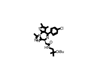 Cc1sc2c(c1C)C(c1ccc(Cl)cc1)=N[C@@H](CC(=O)NCC(C)(C)OCC(C)C)c1nnc(C)n1-2